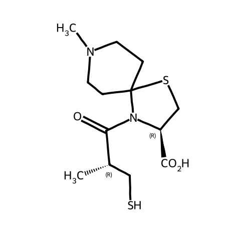 C[C@@H](CS)C(=O)N1[C@H](C(=O)O)CSC12CCN(C)CC2